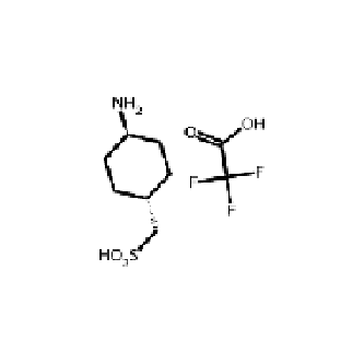 N[C@H]1CC[C@H](CS(=O)(=O)O)CC1.O=C(O)C(F)(F)F